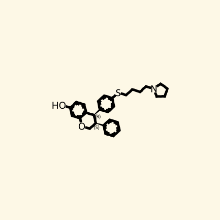 Oc1ccc2c(c1)OC[C@H](c1ccccc1)[C@@H]2c1ccc(SCCCCN2CCCC2)cc1